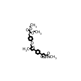 CCOC(=O)[C@H](Cc1ccc(OCc2sc(-c3ccc(-c4cc(C(=O)NC)no4)cc3)cc2C)cc1)OCC